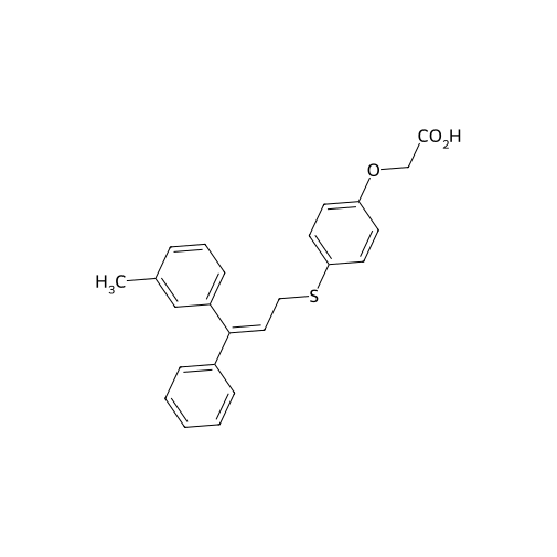 Cc1cccc(/C(=C\CSc2ccc(OCC(=O)O)cc2)c2ccccc2)c1